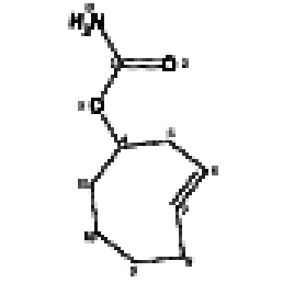 NC(=O)OC1C/C=C/CCCC1